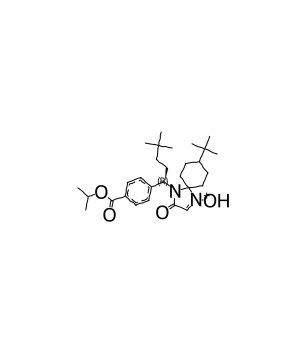 CC(C)OC(=O)c1ccc([C@@H](CCC(C)(C)C)N2C(=O)C=[N+](O)C23CCC(C(C)(C)C)CC3)cc1